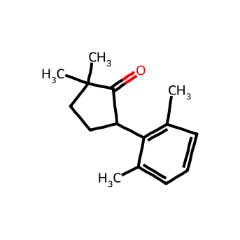 Cc1cccc(C)c1C1CCC(C)(C)C1=O